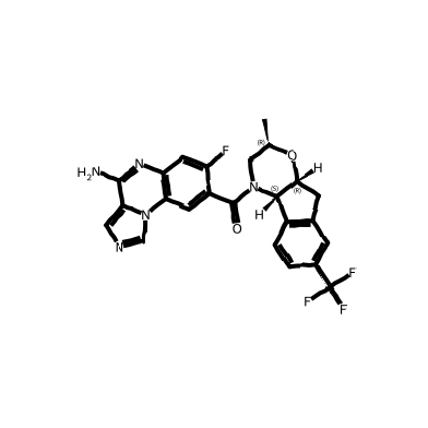 C[C@@H]1CN(C(=O)c2cc3c(cc2F)nc(N)c2cncn23)[C@H]2c3ccc(C(F)(F)F)cc3C[C@H]2O1